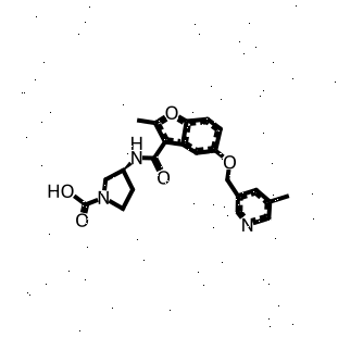 Cc1cncc(COc2ccc3oc(C)c(C(=O)N[C@H]4CCN(C(=O)O)C4)c3c2)c1